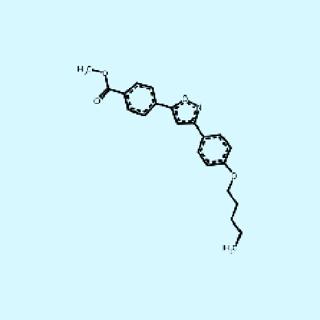 CCCCCOc1ccc(-c2cc(-c3ccc(C(=O)OC)cc3)on2)cc1